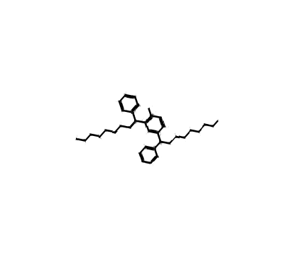 CCCCCCCCC(c1ccccc1)c1ccc(C)c(C(CCCCCCCC)c2ccccc2)c1